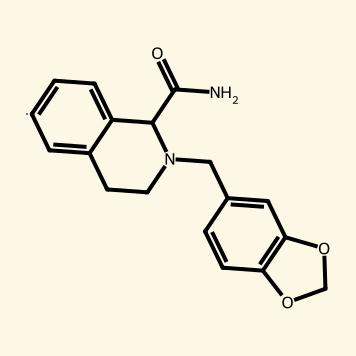 NC(=O)C1c2cc[c]cc2CCN1Cc1ccc2c(c1)OCO2